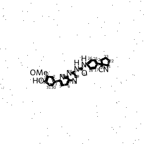 COc1cc(-c2ccc3ncc(NC(=O)Nc4ccc(C5(C#N)CCCC5)cc4)nc3n2)ccc1O